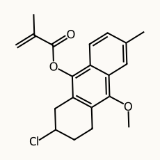 C=C(C)C(=O)Oc1c2c(c(OC)c3cc(C)ccc13)CCC(Cl)C2